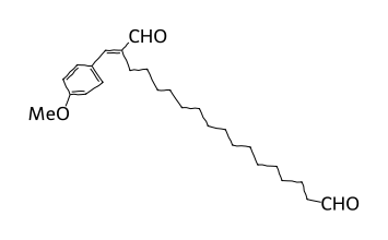 COc1ccc(C=C(C=O)CCCCCCCCCCCCCCCC=O)cc1